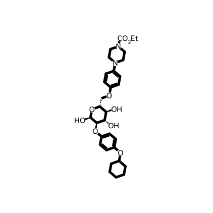 CCOC(=O)N1CCN(c2ccc(OC[C@H]3O[C@H](O)[C@H](Oc4ccc(OC5CCCCC5)cc4)[C@@H](O)[C@@H]3O)cc2)CC1